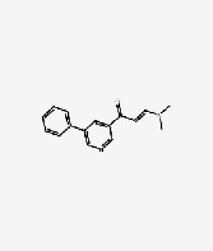 CN(C)C=CC(=O)c1cncc(-c2ccccc2)c1